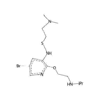 CC(C)NCCOc1ncc(Br)cc1NSCCN(C)C